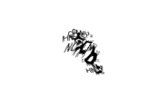 CCOC(=O)Nc1nn(C2(CC#N)CCN(Cc3ccc(N4N=CCN4)cc3)CC2F)cc1C(N)=O